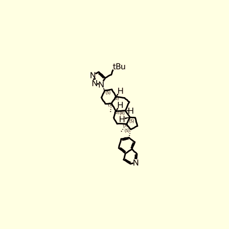 CC(C)(C)Cc1cnnn1[C@H]1CC[C@@]2(C)[C@@H](CC[C@@H]3[C@@H]2CC[C@]2(C)[C@@H](c4ccc5ccncc5c4)CC[C@@H]32)C1